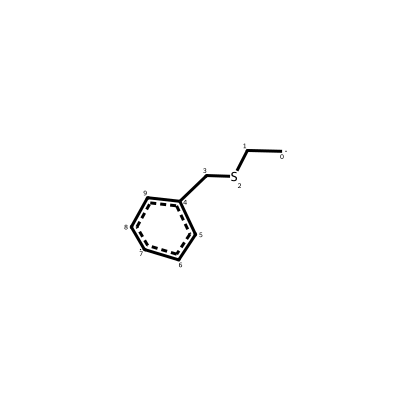 [CH2]CSCc1cc[c]cc1